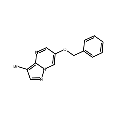 Brc1cnn2cc(OCc3ccccc3)cnc12